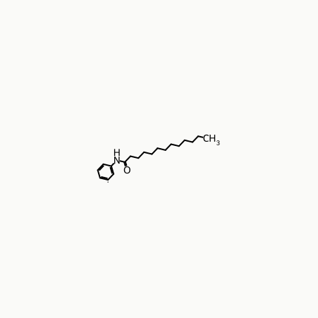 CCCCCCCCCCCCC(=O)Nc1c[c]ccc1